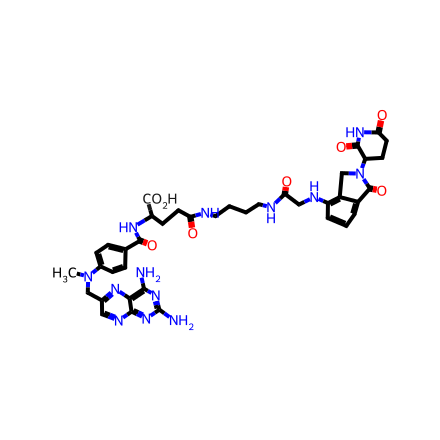 CN(Cc1cnc2nc(N)nc(N)c2n1)c1ccc(C(=O)NC(CCC(=O)NCCCCNC(=O)CNc2cccc3c2CN(C2CCC(=O)NC2=O)C3=O)C(=O)O)cc1